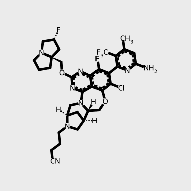 Cc1cc(N)nc(-c2c(Cl)c3c4c(nc(OC[C@@]56CCCN5C[C@H](F)C6)nc4c2F)N2C[C@H]4C[C@H](CN4CCCC#N)[C@H]2CO3)c1C(F)(F)F